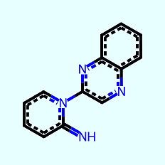 N=c1ccccn1-c1cnc2ccccc2n1